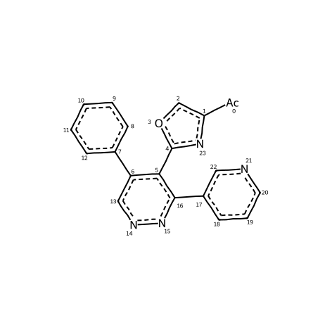 CC(=O)c1coc(-c2c(-c3ccccc3)cnnc2-c2cccnc2)n1